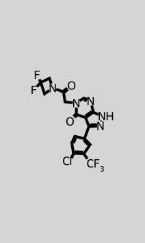 O=C(Cn1cnc2[nH]nc(-c3ccc(Cl)c(C(F)(F)F)c3)c2c1=O)N1CC(F)(F)C1